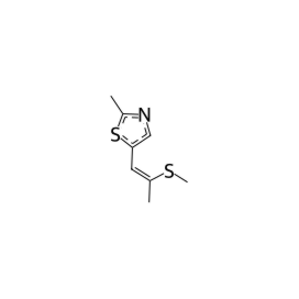 CS/C(C)=C\c1cnc(C)s1